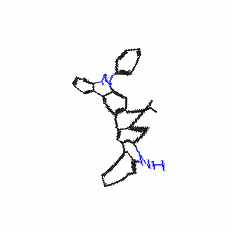 CC1(C)c2cc3[nH]c4c(c3cc2-c2cc3c5ccccc5n(-c5ccccc5)c3cc21)=CCCC=4